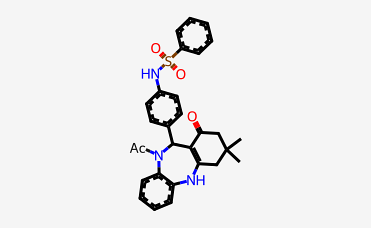 CC(=O)N1c2ccccc2NC2=C(C(=O)CC(C)(C)C2)C1c1ccc(NS(=O)(=O)c2ccccc2)cc1